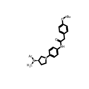 CCCCOc1ccc(CC(=O)Nc2ccc(N3CC[C@@H](N(C)C(C)=O)C3)cc2)cc1